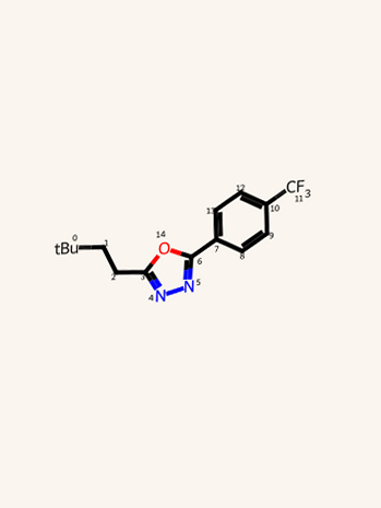 CC(C)(C)CCc1nnc(-c2ccc(C(F)(F)F)cc2)o1